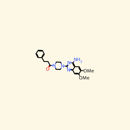 COc1cc2nc(N3CCN(C(=O)CCc4ccccc4)CC3)nc(N)c2cc1OC